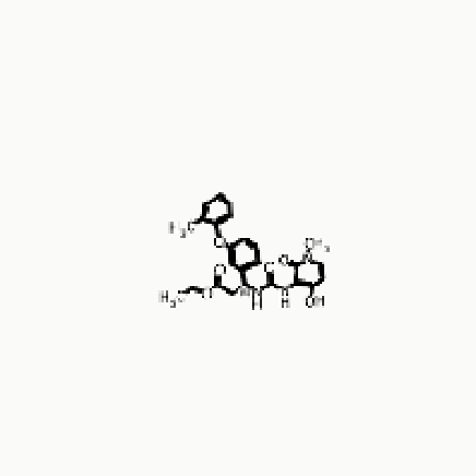 CCOC(=O)C[C@H](NC(=O)Nc1c(O)ccn(C)c1=O)c1cccc(Oc2ccccc2C)c1